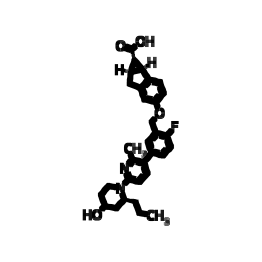 CCC[C@H]1CC(O)CCN1c1ccc(-c2ccc(F)c(COc3ccc4c(c3)C[C@H]3[C@H](C(=O)O)[C@@H]43)c2)c(C)n1